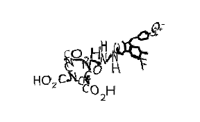 CC1=C(CC(=O)NCCNC(=O)CN2CCN(CC(=O)O)CCN(CC(=O)O)CCN(CC(=O)O)CC2)C2=C(CC(C)C(F)=C2)/C1=C\c1ccc([S+](C)[O-])cc1